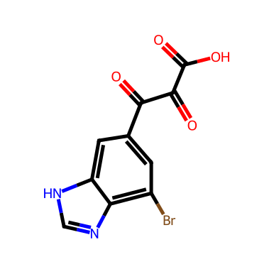 O=C(O)C(=O)C(=O)c1cc(Br)c2nc[nH]c2c1